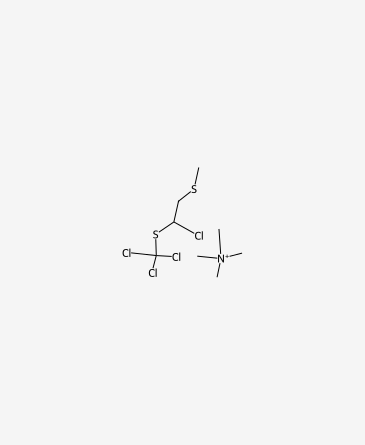 CSCC(Cl)SC(Cl)(Cl)Cl.C[N+](C)(C)C